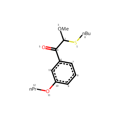 CCCCSC(OC)C(=O)c1cccc(OCCC)c1